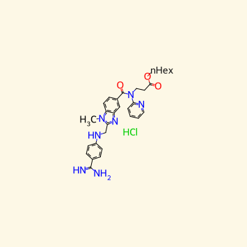 CCCCCCOC(=O)CCN(C(=O)c1ccc2c(c1)nc(CNc1ccc(C(=N)N)cc1)n2C)c1ccccn1.Cl